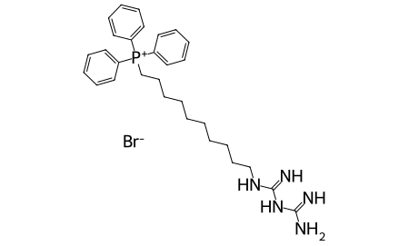 N=C(N)NC(=N)NCCCCCCCCCC[P+](c1ccccc1)(c1ccccc1)c1ccccc1.[Br-]